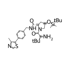 Cc1ncsc1-c1ccc(CNC(=O)[C@@H]2C[C@@H](O[Si](C)(C)C(C)(C)C)CN2C(=O)[C@@H](N)C(C)(C)C)cc1